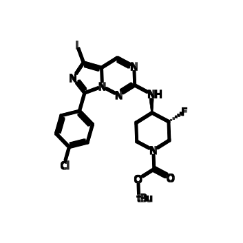 CC(C)(C)OC(=O)N1CC[C@@H](Nc2ncc3c(I)nc(-c4ccc(Cl)cc4)n3n2)[C@H](F)C1